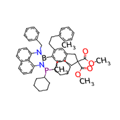 COC(=O)C1(C(=O)OC)Cc2c(C)c(CCc3ccccc3)c(B3N(Cc4ccccc4)c4cccc5cccc(c45)N3P(C3CCCCC3)C3CCCCC3)c(C)c2C1